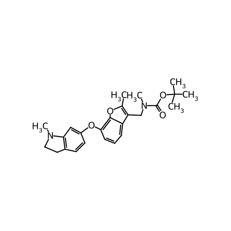 Cc1oc2c(Oc3ccc4c(c3)N(C)CC4)cccc2c1CN(C)C(=O)OC(C)(C)C